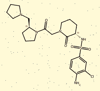 Nc1ccc(S(=O)(=O)N[C@H]2CCCN(CC(=O)N3CCC[C@H]3CN3CCCC3)C2=O)cc1Cl